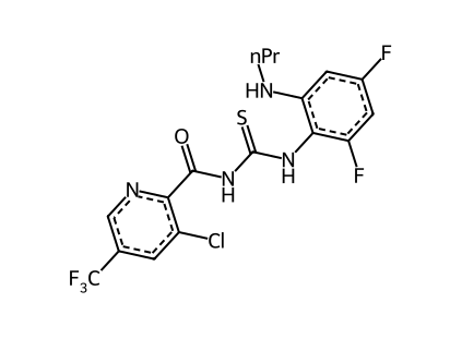 CCCNc1cc(F)cc(F)c1NC(=S)NC(=O)c1ncc(C(F)(F)F)cc1Cl